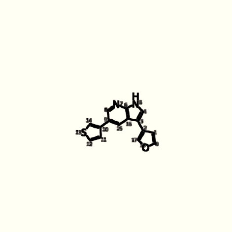 c1cc(-c2c[nH]c3ncc(-c4ccsc4)cc23)co1